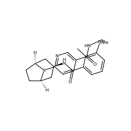 CCCNC(=O)c1ccc(N2[C@@H]3CC[C@H]2C[C@@H](NC(=O)c2cccc(OC)c2C)C3)nc1